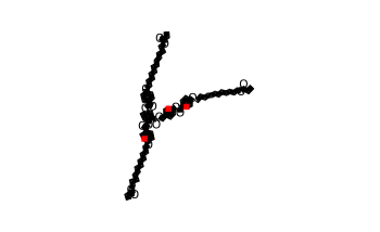 C=CC(=O)OCCCCCCCCCCCCOc1ccc(C(=O)Oc2ccc(COC(=O)c3cc(OC(=O)c4ccc(OCCCCCCCCCCCCOC(=O)C=C)cc4)ccc3OC(=O)c3ccc(OCCCCCCCCCCCCOC(=O)C=C)cc3)cc2)cc1